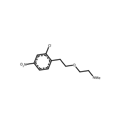 CNCCOCCc1ccc([N+](=O)[O-])cc1Cl